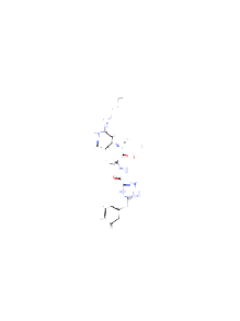 CCCCNc1cc2c(cn1)SC[C@H](NC(=O)c1n[nH]c(Cc3ccccc3)n1)C(=O)N2C